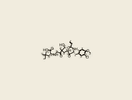 C=CC(=O)N[C@H](Cc1ccc(OC)c(Cl)c1)C(=O)NCC(C)(CO)C(=O)CN[C@@H](CC(C)(C)C)C(=O)O